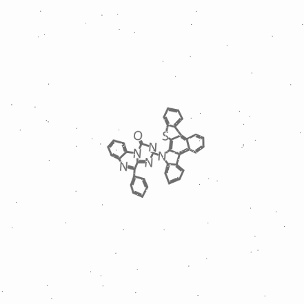 O=c1nc(-n2c3ccccc3c3c4ccccc4c4c5ccccc5sc4c32)nc2c(-c3ccccc3)nc3ccccc3n12